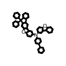 c1ccc(-c2ccc(N(c3ccc4oc5ccccc5c4c3)c3ccc4oc5cc6c(cc5c4c3)-c3ccccc3C6(c3ccccc3)c3ccccc3)cc2)cc1